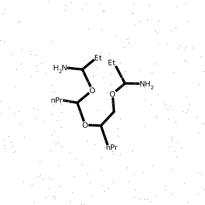 CCCC(COC(N)CC)OC(CCC)OC(N)CC